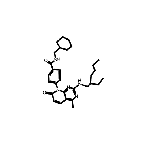 CCCCC(CC)CNc1nc(C)c2ccc(=O)n(-c3ccc(C(=O)NCC4CCCCC4)cc3)c2n1